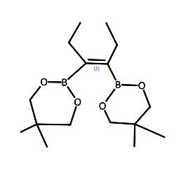 CC/C(B1OCC(C)(C)CO1)=C(\CC)B1OCC(C)(C)CO1